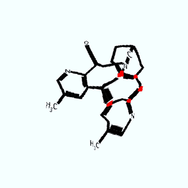 Cc1ccc(OC2CC3CCC2N(C(=O)c2ncc(C)cc2-c2ncccn2)C3)nc1